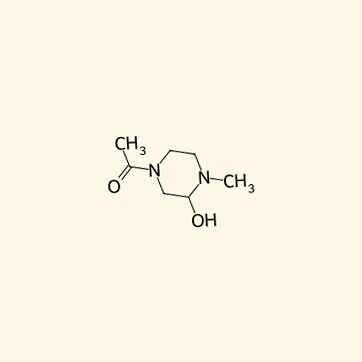 CC(=O)N1CCN(C)C(O)C1